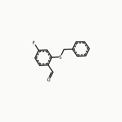 O=Cc1ccc(F)cc1SCc1ccccc1